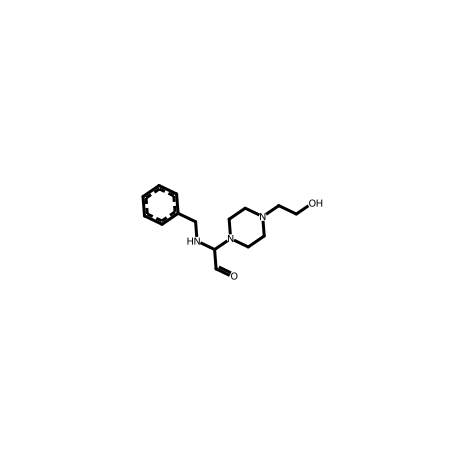 O=CC(NCc1ccccc1)N1CCN(CCO)CC1